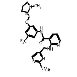 CNc1nccc(CNc2ncccc2C(=O)Nc2cc(OC[C@@H]3CCCN3C)cc(C(F)(F)F)c2)n1